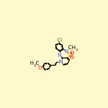 COc1ccc(CCN2C=CC=C3C2=Nc2ccc(Cl)cc2N(C)S3(=O)=O)cc1